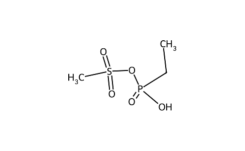 CCP(=O)(O)OS(C)(=O)=O